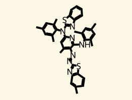 Cc1cc(C)c(Nc2nc(N(c3nc4ccccc4s3)c3c(C)cc(C)cc3C)cc(C)c2N=Nc2nc3cc(C)ccc3s2)c(C)c1